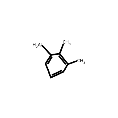 Cc1ccc[c]([AlH2])c1C